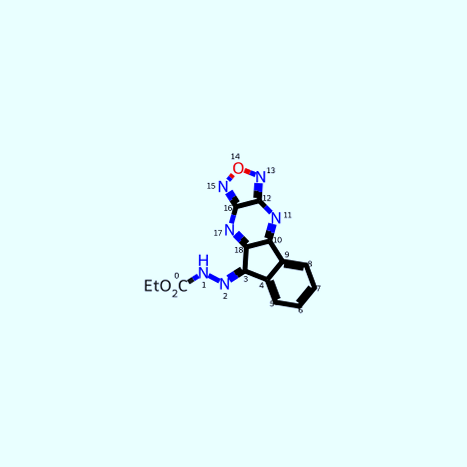 CCOC(=O)NN=C1c2ccccc2-c2nc3nonc3nc21